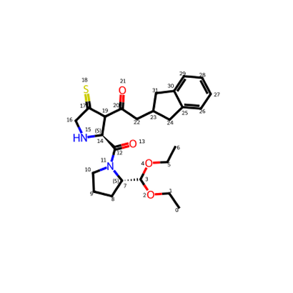 CCOC(OCC)[C@@H]1CCCN1C(=O)[C@H]1NCC(=S)C1C(=O)CC1Cc2ccccc2C1